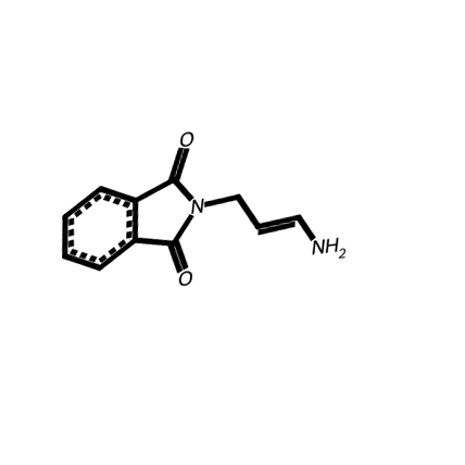 NC=CCN1C(=O)c2ccccc2C1=O